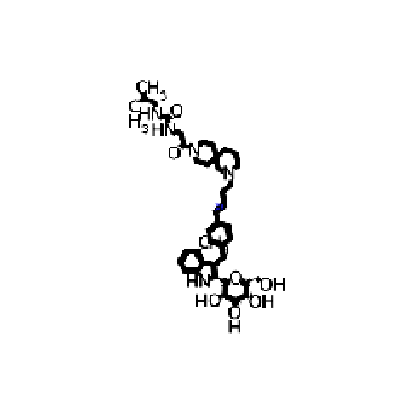 Cc1cccc2[nH]c([C@H]3O[C@H](CO)[C@@H](O)[C@@H](O)[C@H]3O)c(Cc3ccc(/C=C/CCN4CCCC5(CCN(C(=O)CNC(=O)NCC(C)C)CC5)C4)cc3)c12